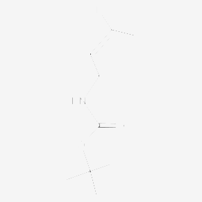 C/C(F)=C\CNC(=O)OC(C)(C)C